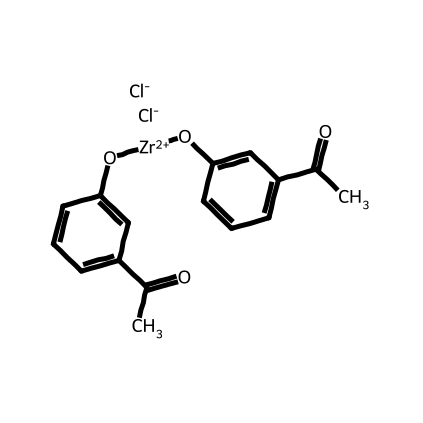 CC(=O)c1cccc([O][Zr+2][O]c2cccc(C(C)=O)c2)c1.[Cl-].[Cl-]